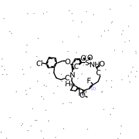 CO[C@H]1/C=C(\F)CCCC(=O)NS(=O)(=O)c2ccc3c(c2)N(CCCCc2cc(Cl)ccc2CO3)C[C@@H]2CC[C@H]21